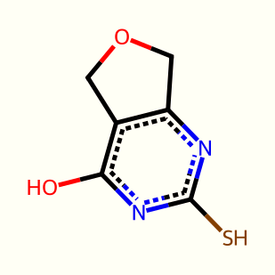 Oc1nc(S)nc2c1COC2